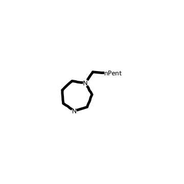 CCCCCCN1CCC[N]CC1